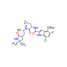 COc1c(F)cc(Cl)c2[nH]c(C(=O)NC(CC3CC3)C(=O)NC(C#N)CC3CC(C)(C)NC3=O)cc12